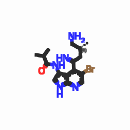 CC(C)C(=O)Nc1c[nH]c2ncc(Br)c(C(=N)C[C@@H](C)CN)c12